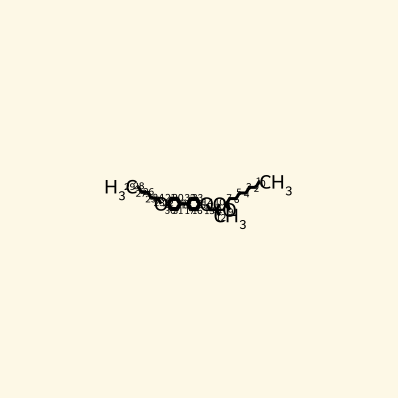 CCCCCCCCC(=O)OC(C)COc1ccc(-c2ccc(OCCCCCC)cc2)cc1